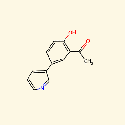 CC(=O)c1cc(-c2cccnc2)ccc1O